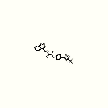 O=C(OCc1cncc2ccccc12)N(F)Cc1ccc(-c2noc(C(F)(F)F)n2)cc1